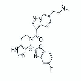 CN(C)CCc1ccc2c(C(=O)N3CCc4[nH]cnc4[C@H]3c3nc4cc(F)ccc4o3)cnn2c1